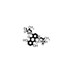 CC[N+]([O-])(CC)C(C)CNc1ccc(NCC(C)[N+]([O-])(CC)CC)c2c1C(=O)c1c(O)ccc(O)c1C2=O